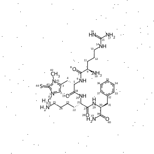 Cn1cc(C[C@H](NC(=O)[C@H](N)CCCNC(=N)N)C(=O)N[C@@H](CCCCN)C(=O)N[C@@H](Cc2ccccc2)C(N)=O)n(C)c1=S